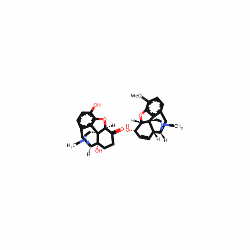 CN1CC[C@]23c4c5ccc(O)c4O[C@H]2C(=O)CC[C@@]3(O)[C@H]1C5.COc1ccc2c3c1O[C@H]1[C@@H](O)C=C[C@H]4[C@@H](C2)N(C)CC[C@@]341